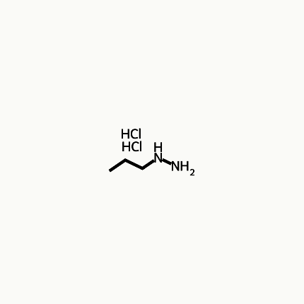 CCCNN.Cl.Cl